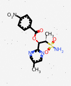 Cc1cnc([C@@H](OC(=O)c2ccc([N+](=O)[O-])cc2)[C@H](C)S(N)(=O)=O)nc1